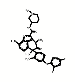 Cc1cc(Oc2ccc(F)cc2F)ccc1C1(N)C(=O)C(N)c2c(C(=O)NC3CCCN(C)C3)sc3c(N)ccc1c23